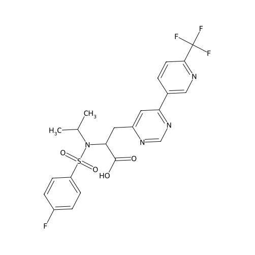 CC(C)N(C(Cc1cc(-c2ccc(C(F)(F)F)nc2)ncn1)C(=O)O)S(=O)(=O)c1ccc(F)cc1